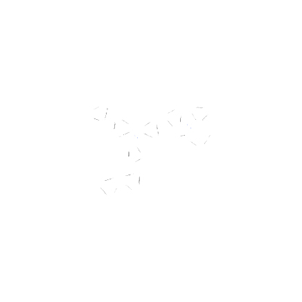 C=C1/C=C\C=C/Cc2ccccc2N1c1cccc(-c2ccc(N(c3ccc(-c4ccccc4)cc3)c3ccc(-c4cccc5c4oc4ccccc45)cc3)cc2)c1